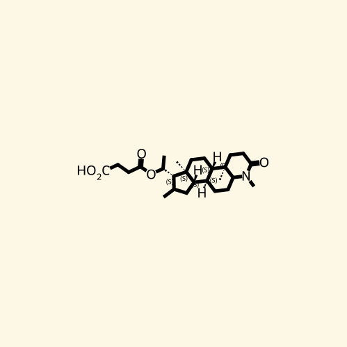 CC1C[C@H]2[C@@H]3CCC4N(C)C(=O)CC[C@]4(C)[C@H]3CC[C@]2(C)[C@H]1C(C)OC(=O)CCC(=O)O